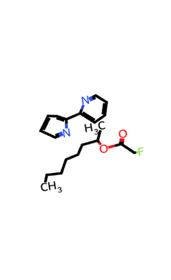 CCCCCCC(C)OC(=O)CF.c1ccc(-c2ccccn2)nc1